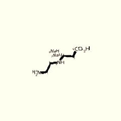 NCCNCCC(=O)O.[NaH].[NaH]